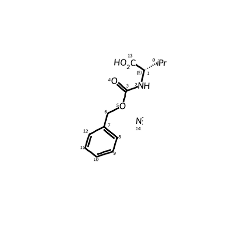 CC(C)[C@H](NC(=O)OCc1ccccc1)C(=O)O.[N]